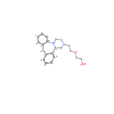 OCCOCCN1CCN2c3ccccc3Cc3ccccc3C2C1